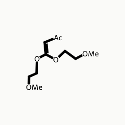 COCCOC(=CC(C)=O)OCCOC